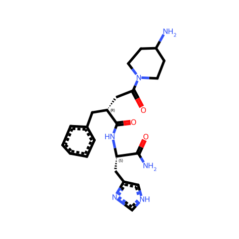 NC(=O)[C@H](Cc1c[nH]cn1)NC(=O)[C@@H](CC(=O)N1CCC(N)CC1)Cc1ccccc1